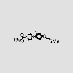 CSCCOc1ccc(N2CCN(C(=O)OC(C)(C)C)CC2)c(F)c1